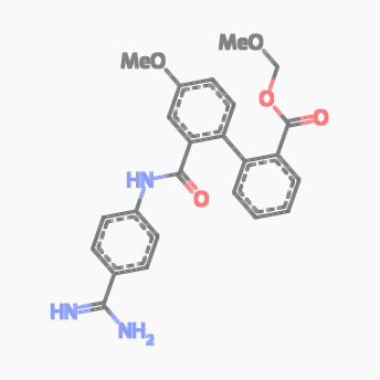 COCOC(=O)c1ccccc1-c1ccc(OC)cc1C(=O)Nc1ccc(C(=N)N)cc1